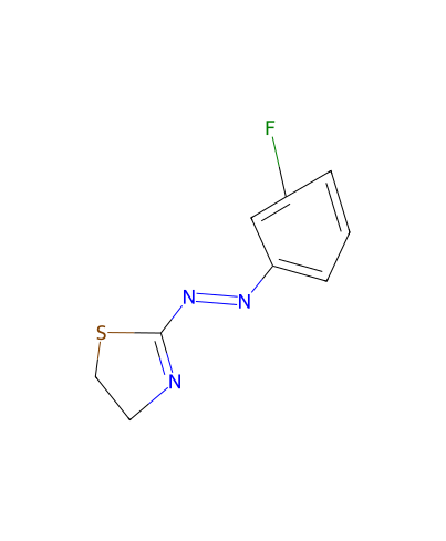 Fc1cccc(/N=N/C2=NCCS2)c1